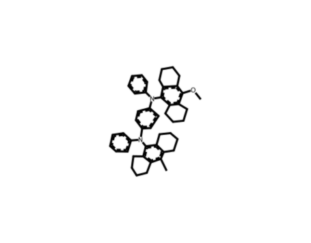 COc1c2c(c(N(c3ccccc3)c3ccc(N(c4ccccc4)c4c5c(c(C)c6c4CCCC6)CCCC5)cc3)c3c1CCCC3)CCCC2